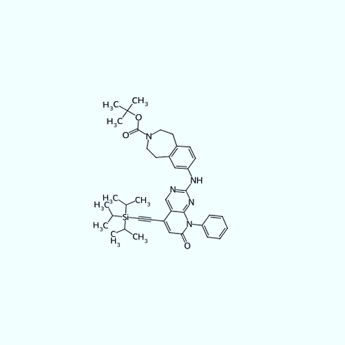 CC(C)[Si](C#Cc1cc(=O)n(-c2ccccc2)c2nc(Nc3ccc4c(c3)CCN(C(=O)OC(C)(C)C)CC4)ncc12)(C(C)C)C(C)C